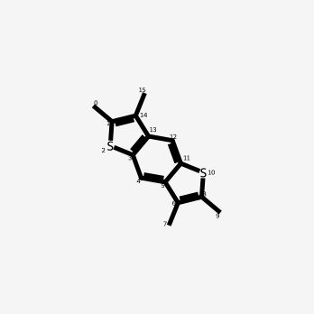 Cc1sc2cc3c(C)c(C)sc3cc2c1C